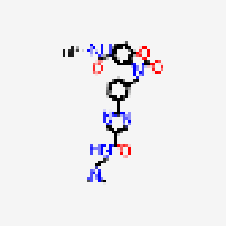 CCCNC(=O)c1ccc2oc(=O)n(Cc3cccc(-c4ncc(C(=O)NCCN(C)C)cn4)c3)c2c1